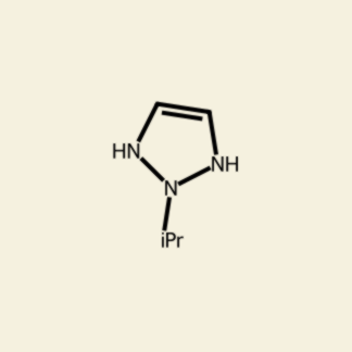 CC(C)N1NC=CN1